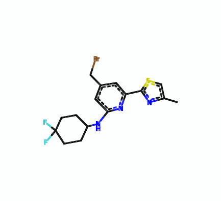 Cc1csc(-c2cc(CBr)cc(NC3CCC(F)(F)CC3)n2)n1